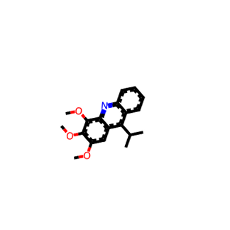 COc1cc2c(C(C)C)c3ccccc3nc2c(OC)c1OC